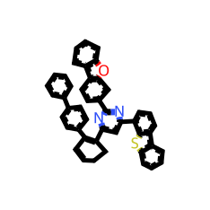 C1=CC(c2ccc(-c3ccccc3)cc2)=C(c2cc(-c3cccc4c3sc3ccccc34)nc(-c3ccc4c(c3)oc3ccccc34)n2)CC1